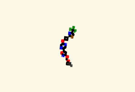 COCOc1cc(-c2cnc(O[C@H]3C[C@@H](c4nc(C(F)(F)F)cs4)C3)cn2)on1